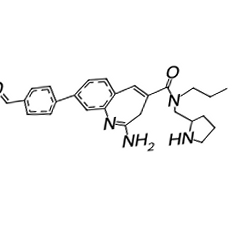 CCCN(CC1CCCN1)C(=O)C1=Cc2ccc(-c3ccc(C=O)cc3)cc2N=C(N)C1